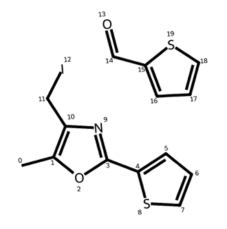 Cc1oc(-c2cccs2)nc1CI.O=Cc1cccs1